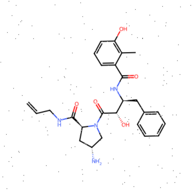 C=CCNC(=O)[C@@H]1C[C@@H](N)CN1C(=O)[C@@H](O)[C@H](Cc1ccccc1)NC(=O)c1cccc(O)c1C